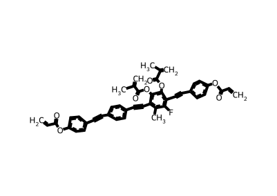 C=CC(=O)Oc1ccc(C#Cc2ccc(C#Cc3c(C)c(F)c(C#Cc4ccc(OC(=O)C=C)cc4)c(OC(=O)C(=C)C)c3OC(=O)C(=C)C)cc2)cc1